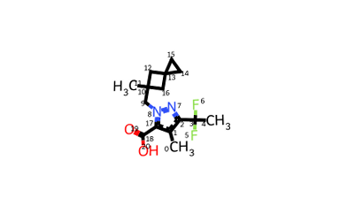 Cc1c(C(C)(F)F)nn(CC2(C)CC3(CC3)C2)c1C(=O)O